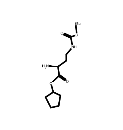 CC(C)(C)OC(=O)NCC[C@H](N)C(=O)OC1CCCC1